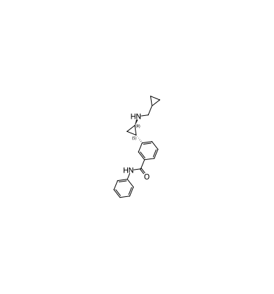 O=C(Nc1ccccc1)c1cccc([C@@H]2C[C@H]2NCC2CC2)c1